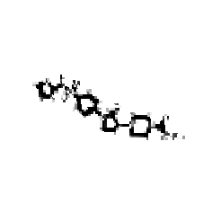 CC(C)COC(=O)N1CCN([C@H]2CCN(c3ccc(S(=O)(=O)Nc4nccs4)cc3)C2=O)CC1